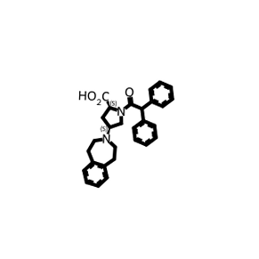 O=C(O)[C@@H]1C[C@H](N2CCc3ccccc3CC2)CN1C(=O)C(c1ccccc1)c1ccccc1